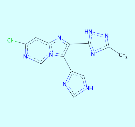 FC(F)(F)c1n[nH]c(-c2nc3cc(Cl)ncn3c2-c2c[nH]cn2)n1